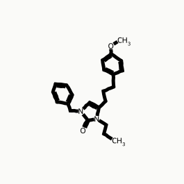 CCCn1c(CCCc2ccc(OC)cc2)cn(Cc2ccccc2)c1=O